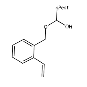 C=Cc1ccccc1COC(O)CCCCC